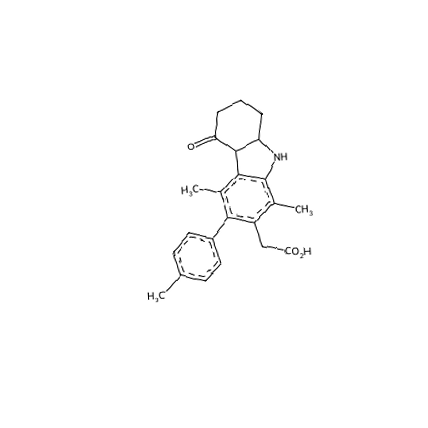 Cc1ccc(-c2c(C)c3c(c(C)c2CC(=O)O)NC2CCCC(=O)C32)cc1